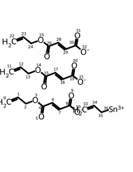 C=CCOC(=O)C=CC(=O)[O-].C=CCOC(=O)C=CC(=O)[O-].C=CCOC(=O)C=CC(=O)[O-].C=C[CH2][Sn+3]